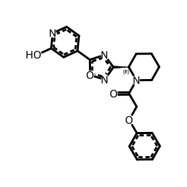 O=C(COc1ccccc1)N1CCCC[C@@H]1c1noc(-c2ccnc(O)c2)n1